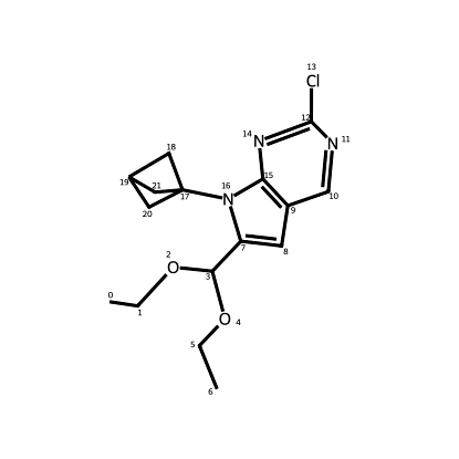 CCOC(OCC)c1cc2cnc(Cl)nc2n1C12CC(C1)C2